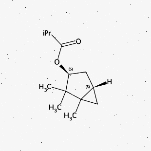 CC(C)C(=O)O[C@H]1C[C@@H]2CC2(C)C1(C)C